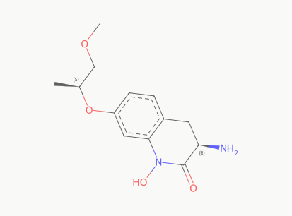 COC[C@H](C)Oc1ccc2c(c1)N(O)C(=O)[C@H](N)C2